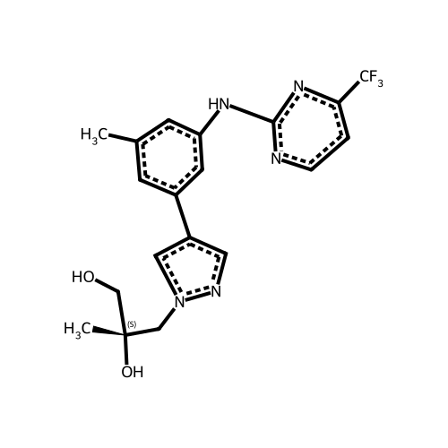 Cc1cc(Nc2nccc(C(F)(F)F)n2)cc(-c2cnn(C[C@](C)(O)CO)c2)c1